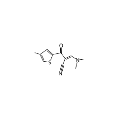 Cc1csc(C(=O)C(C#N)=CN(C)C)c1